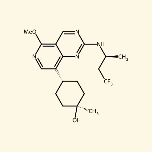 COc1ncc([C@H]2CC[C@](C)(O)CC2)c2nc(N[C@@H](C)CC(F)(F)F)ncc12